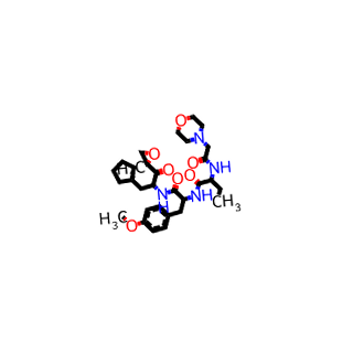 CCC(NC(=O)CN1CCOCC1)C(=O)NC(Cc1ccc(OC)cc1)C(=O)NC(CC1CCCC1)C(=O)C1(C)CO1